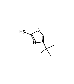 CC(C)(C)c1csc(S)n1